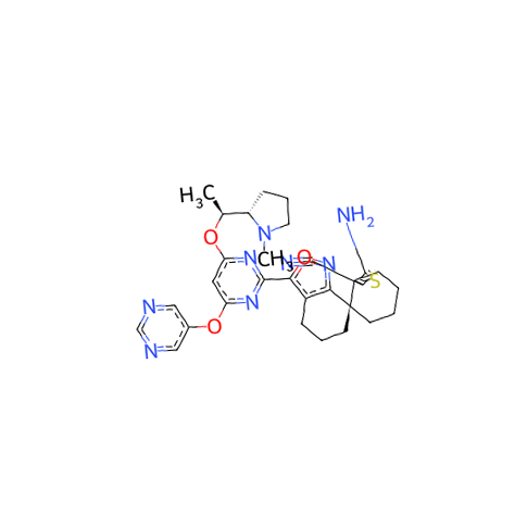 C[C@H](Oc1cc(Oc2cncnc2)nc(-c2onc3c2CCC[C@@]32CCCc3sc(N)c(C#N)c32)n1)[C@@H]1CCCN1C